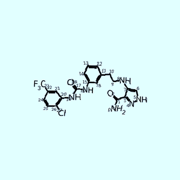 NC(=O)c1n[nH]cc1NCCc1cccc(NC(=O)Nc2cc(C(F)(F)F)ccc2Cl)c1